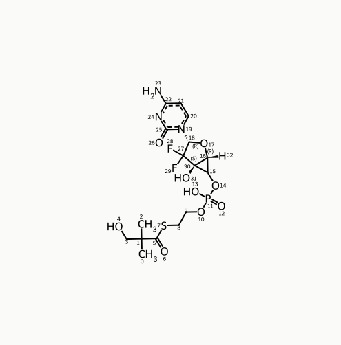 CC(C)(CO)C(=O)SCCOP(=O)(O)OC1[C@H]2O[C@@H](n3ccc(N)nc3=O)C(F)(F)[C@@]12O